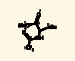 CCCCC(NC(=O)C(F)(F)F)C(=O)OC